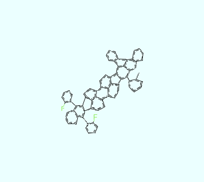 Cc1ccccc1-c1c2cc3ccccc3c3c4ccccc4c(c4c5ccc6c7ccc8c9c(ccc(c%10ccc(c14)c5c%106)c97)-c1c-8c(-c4ccccc4F)c4ccccc4c1-c1ccccc1F)c23